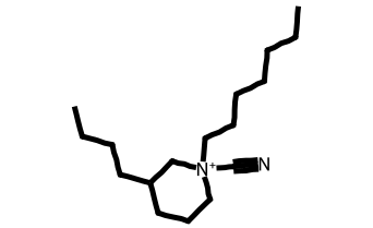 CCCCCCC[N+]1(C#N)CCCC(CCCC)C1